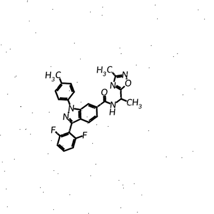 Cc1ccc(-n2nc(-c3c(F)cccc3F)c3ccc(C(=O)NC(C)c4nc(C)no4)cc32)cc1